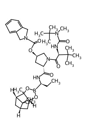 CC[C@H](NC(=O)[C@@H]1C[C@@H](OC(=O)N2Cc3ccccc3C2)CN1C(=O)[C@@H](NC(=O)N(C)C(C)(C)C)C(C)(C)C)B1O[C@@H]2C[C@@H]3C[C@@H](C3(C)C)[C@]2(C)O1